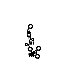 O=C(NCC(=O)N1CC2CC1CN2Cc1ccccc1)c1ccc(S(=O)(=O)Nc2ccccc2Oc2ccccc2)cc1